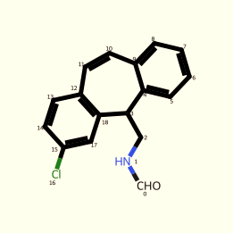 O=CNCC1c2ccccc2C=Cc2ccc(Cl)cc21